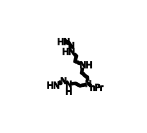 CCCN(CCNCCNN=N)CCNN=N